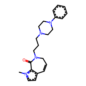 Cn1ccc2c1C(=O)N(CCCN1CCN(c3ccccc3)CC1)CC=C2